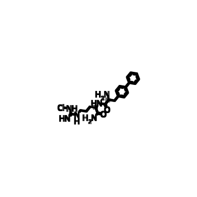 N=C(NCl)NCCC[C@@H](NC(=O)[C@H](N)Cc1ccc(-c2ccccc2)cc1)C(N)=O